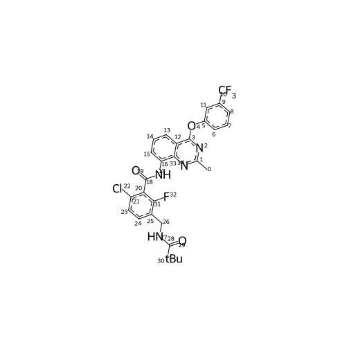 Cc1nc(Oc2cccc(C(F)(F)F)c2)c2cccc(NC(=O)c3c(Cl)ccc(CNC(=O)C(C)(C)C)c3F)c2n1